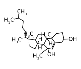 CCC1(O)C=C2CC(O)CC[C@]2(C)[C@H]2CC[C@]3(C)[C@@H]([C@H](C)CCCC(C)C)CC[C@H]3[C@@H]21